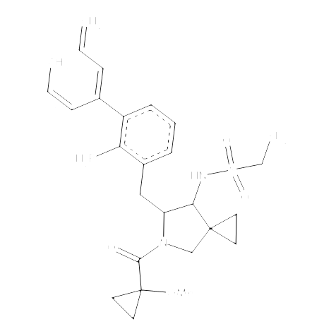 C=C/C=C(\C=C/C)c1cccc(CC2C(NS(=O)(=O)CP)C3(CC3)CN2C(=O)C2(OC)CC2)c1P